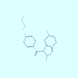 Cc1ccc2oc(C)c(C(=O)c3ccc(OCCC#N)cc3)c2c1